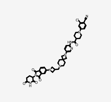 N#Cc1ccc(N2CCC(C(=O)Nc3ccc(N4CC5(CCN(CC6CN(c7ccc8c(c7)C(=O)N(C7CCC(=O)NC7=O)C8=O)C6)CC5)C4)cn3)CC2)cc1Cl